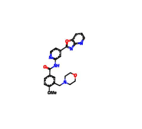 COc1ccc(C(=O)Nc2cc(-c3nc4ncccc4o3)ccn2)cc1CN1CCOCC1